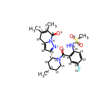 CC1=C(C)C(=O)n2nc([C@H]3C[C@@H](C)CCN3C(=O)c3cc(F)ccc3NS(C)(=O)=O)cc2C1